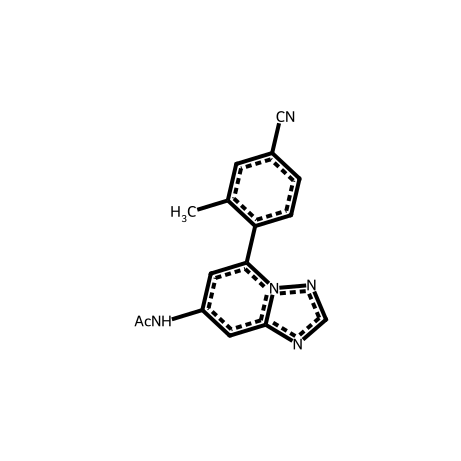 CC(=O)Nc1cc(-c2ccc(C#N)cc2C)n2ncnc2c1